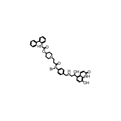 O=C(Nc1ccccc1-c1ccccc1)OC1CCN(CCC(=O)N(Br)c2ccc(CNCC(O)c3ccc(O)c4[nH]c(=O)ccc34)cc2)CC1